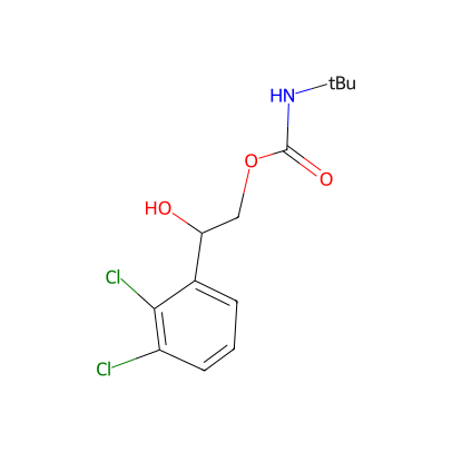 CC(C)(C)NC(=O)OCC(O)c1cccc(Cl)c1Cl